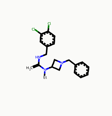 C=C(NCc1ccc(Cl)c(Cl)c1)N(CC)C1CN(Cc2ccccc2)C1